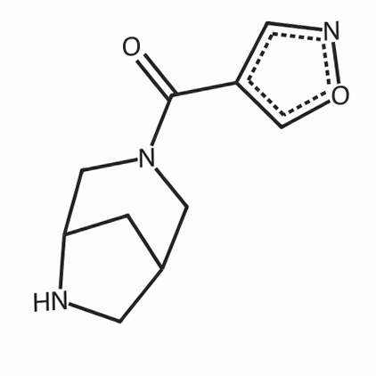 O=C(c1cnoc1)N1CC2CNC(C2)C1